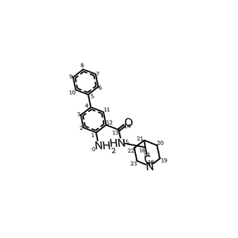 Nc1ccc(-c2ccccc2)cc1C(=O)NC1CN2CCC1CC2